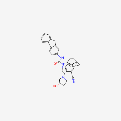 N#Cc1cccc([C@]23CC[C@@H](N(CCN4CC[C@H](O)C4)C(=O)Nc4ccc5c(c4)Cc4ccccc4-5)CC2C3)c1